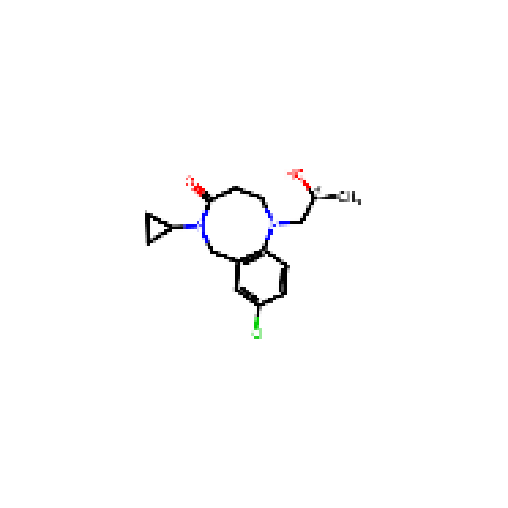 C[C@H](O)CN1CCC(=O)N(C2CC2)Cc2cc(Cl)ccc21